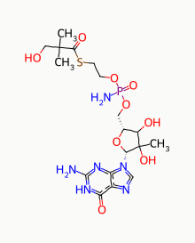 CC(C)(CO)C(=O)SCCOP(N)(=O)OC[C@H]1O[C@@H](n2cnc3c(=O)[nH]c(N)nc32)C(C)(O)C1O